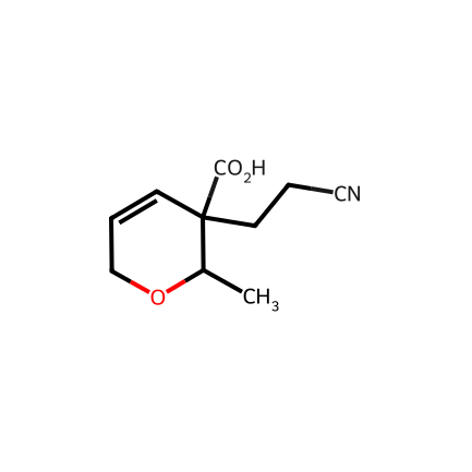 CC1OCC=CC1(CCC#N)C(=O)O